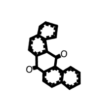 O=C1c2ccc3ccccc3c2C(=O)c2c1ccc1ccccc21